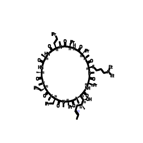 C/C=C/C[C@@H](C)[C@@H](O)[C@H]1C(=O)N[C@H](CCC)C(=O)N(C)[C@H](SCCCN(CC)CC)C(=O)N(C)[C@@H](C(C)C)C(=O)N[C@H](C(C)C)C(=O)N(C)[C@H](CCC(C)C)C(=O)N[C@H](C)C(=O)N[C@@H](C)C(=O)N(C)[C@@H](CC(C)C)C(=O)N(C)[C@H](CC(C)C)C(=O)N(C)[C@H](C(C)C)C(=O)N1C